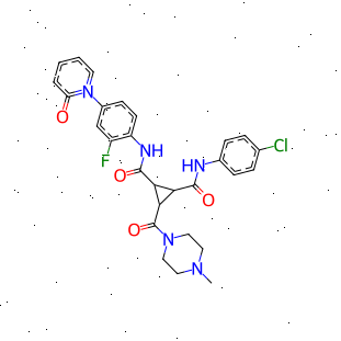 CN1CCN(C(=O)C2C(C(=O)Nc3ccc(Cl)cc3)C2C(=O)Nc2ccc(-n3ccccc3=O)cc2F)CC1